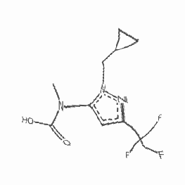 CN(C(=O)O)c1cc(C(F)(F)F)nn1CC1CC1